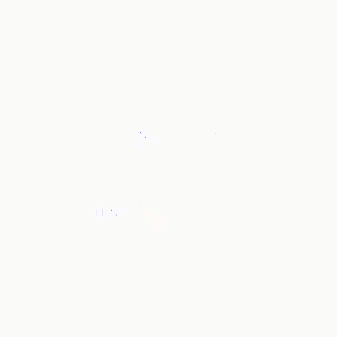 CC(C)(C)Cc1ncc(C(N)=O)s1